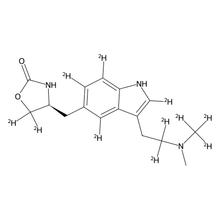 [2H]c1[nH]c2c([2H])c([2H])c(C[C@@H]3NC(=O)OC3([2H])[2H])c([2H])c2c1CC([2H])([2H])N(C)C([2H])([2H])[2H]